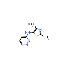 Cc1nc(C(=O)O)c(Nc2cccnn2)s1